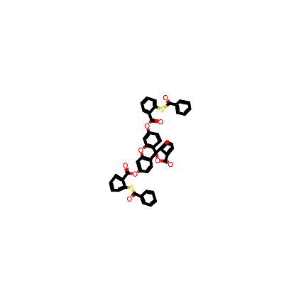 O=C(Sc1ccccc1C(=O)Oc1ccc2c(c1)Oc1cc(OC(=O)c3ccccc3SC(=O)c3ccccc3)ccc1C21OC(=O)c2ccccc21)c1ccccc1